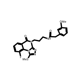 COc1cccc(CC(=O)NCCCn2c(=O)c3cccc(F)c3n3c(SC)nnc23)c1